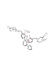 COc1nc(C2(Nc3nccc(CN4CCNC(=O)C4)c3F)C=CC=C(c3ccccc3)C2(Cl)Cl)ccc1CNCC1CCC(=O)N1